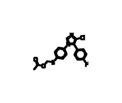 CC(=O)OCSc1ccc(-n2cnc(Cl)c2-c2ccc(F)cc2)cc1